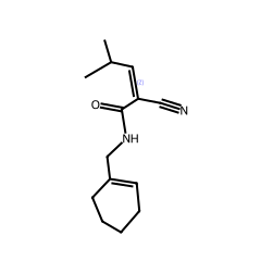 CC(C)/C=C(/C#N)C(=O)NCC1=CCCCC1